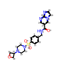 O=C(NCc1ccc(S(=O)(=O)N2CCN(C3COC3)CC2)cc1)c1cnc2nccn2c1